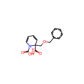 O=C(O)N1C=CC=CC1(COCc1ccccc1)C(=O)O